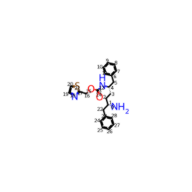 N[C@@H](CC[C@@H](Cc1ccccc1)NC(=O)OCc1nccs1)Cc1ccccc1